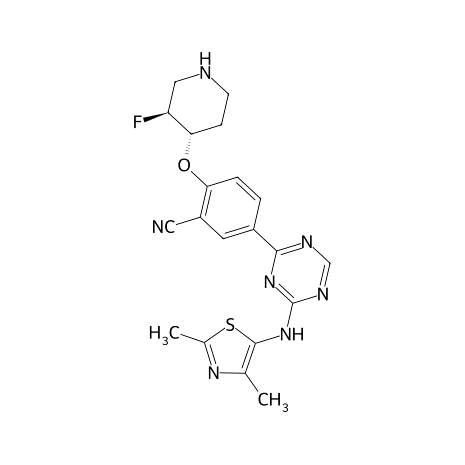 Cc1nc(C)c(Nc2ncnc(-c3ccc(O[C@H]4CCNC[C@@H]4F)c(C#N)c3)n2)s1